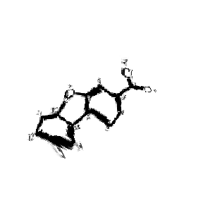 O=C(Cl)c1ccc2c(c1)oc1ccccc12